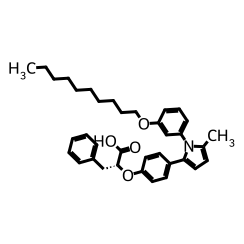 CCCCCCCCCCOc1cccc(-n2c(C)ccc2-c2ccc(O[C@H](Cc3ccccc3)C(=O)O)cc2)c1